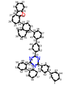 c1ccc(-c2ccc(-c3nc(-c4ccc(-c5cccc(-c6ccc(-c7cccc8c7oc7ccccc78)c7ccccc67)c5)cc4)nc(-c4ccccc4-c4ccccc4)n3)cc2)cc1